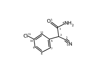 N#CC(C(N)=O)c1cccc(Cl)c1